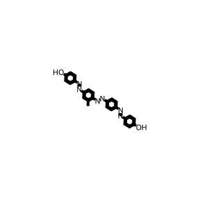 Cc1cc(N=Nc2ccc(O)cc2)ccc1N=Nc1ccc(N=Nc2ccc(O)cc2)cc1